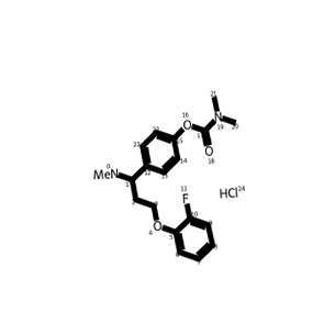 CNC(CCOc1ccccc1F)c1ccc(OC(=O)N(C)C)cc1.Cl